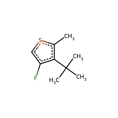 Cc1scc(F)c1C(C)(C)C